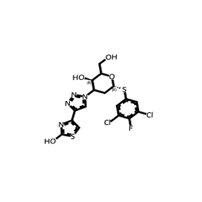 OCC1O[C@H](Sc2cc(Cl)c(F)c(Cl)c2)CC(n2cc(-c3csc(O)n3)nn2)[C@H]1O